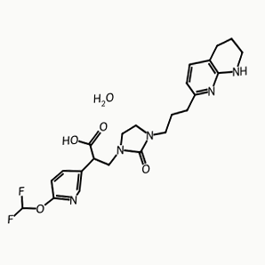 O.O=C(O)C(CN1CCN(CCCc2ccc3c(n2)NCCC3)C1=O)c1ccc(OC(F)F)nc1